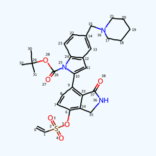 C=CS(=O)(=O)Oc1ccc(-c2cc3cc(CN4CCCCC4)ccc3n2C(=O)OC(C)(C)C)c2c1CNC2=O